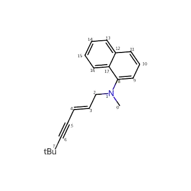 CN(C/C=C/C#CC(C)(C)C)c1cccc2ccccc12